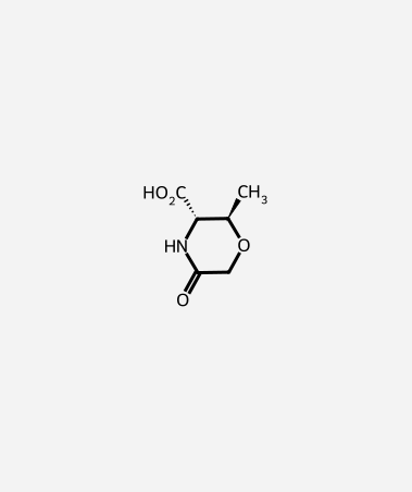 C[C@H]1OCC(=O)N[C@@H]1C(=O)O